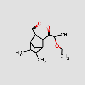 CCOC(C)C(=O)C1C(C=O)C2CC1C(C)C2C